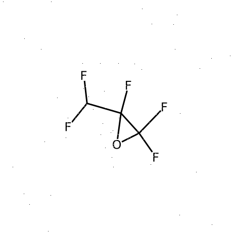 FC(F)C1(F)OC1(F)F